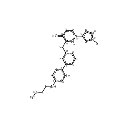 CCOCCNc1cnc(-c2cccc(Cc3nn(-c4cnn(C)c4)ccc3=O)c2)nc1